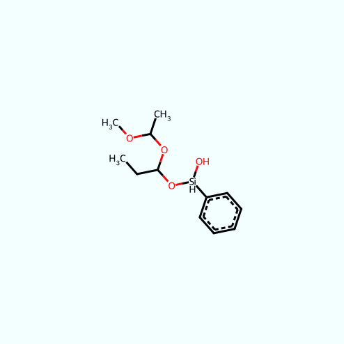 CCC(OC(C)OC)O[SiH](O)c1ccccc1